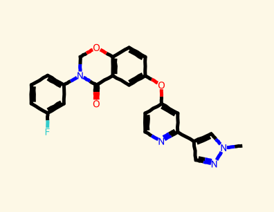 Cn1cc(-c2cc(Oc3ccc4c(c3)C(=O)N(c3cccc(F)c3)CO4)ccn2)cn1